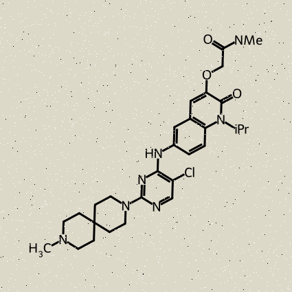 CNC(=O)COc1cc2cc(Nc3nc(N4CCC5(CCN(C)CC5)CC4)ncc3Cl)ccc2n(C(C)C)c1=O